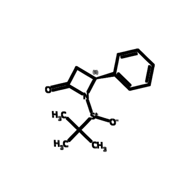 CC(C)(C)[S+]([O-])N1C(=O)C[C@H]1c1ccccc1